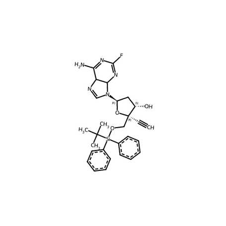 C#C[C@]1(CO[Si](c2ccccc2)(c2ccccc2)C(C)(C)C)O[C@@H](N2C=NC3C(N)=NC(F)=NC32)C[C@@H]1O